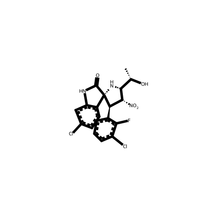 C[C@H](O)[C@H]1N[C@]2(C(=O)Nc3cc(Cl)ccc32)[C@H](c2cccc(Cl)c2F)[C@H]1[N+](=O)[O-]